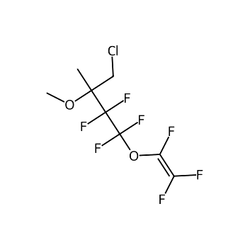 COC(C)(CCl)C(F)(F)C(F)(F)OC(F)=C(F)F